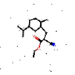 CCOC(=O)C(C#N)CC1CC(C(C)C)CCC1C